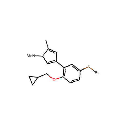 CCSc1ccc(OCC2CC2)c(C2=CC(NC)C(C)=C2)c1